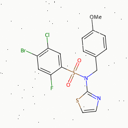 COc1ccc(CN(c2nccs2)S(=O)(=O)c2cc(Cl)c(Br)cc2F)cc1